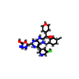 CC1CCC(Cn2c(C(O)C3CCOCC3)nc3nc(-c4n[nH]c(=O)o4)nc(-c4cncc(Cl)c4)c32)CC1